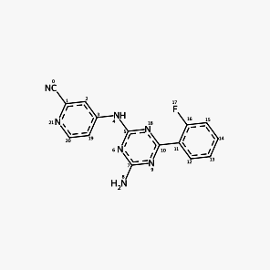 N#Cc1cc(Nc2nc(N)nc(-c3ccccc3F)n2)ccn1